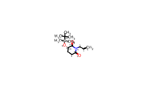 C=CCN1C(=O)CC[C@H](O[Si](C)(C)C(C)(C)C)C1=O